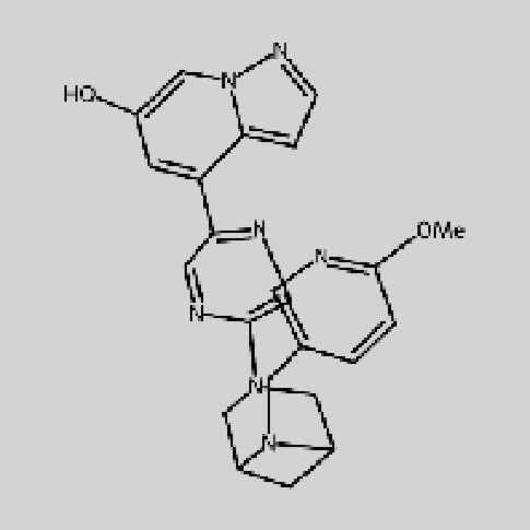 COc1ccc(CN2C3CC2CN(c2cnc(-c4cc(O)cn5nccc45)cn2)C3)cn1